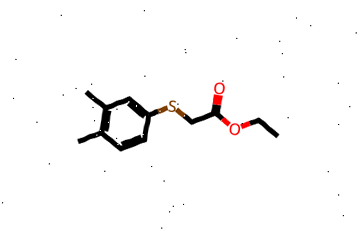 CCOC(=O)CSc1ccc(C)c(C)c1